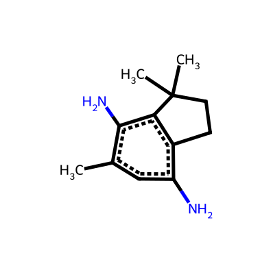 Cc1cc(N)c2c(c1N)C(C)(C)CC2